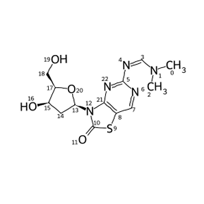 CN(C)/C=N\c1ncc2sc(=O)n([C@H]3C[C@@H](O)[C@@H](CO)O3)c2n1